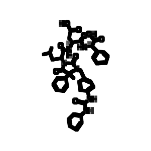 CC(C)CC(C(=O)N[C@@H](CC(=O)O)C(=O)N[C@H](C(=O)O)c1ccccc1)N1C(=O)N(Cc2ccc(NC(=O)Nc3ccccc3)cc2)C(C)(c2ccccc2)C1=O